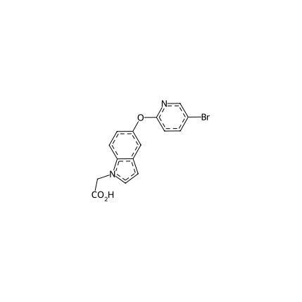 O=C(O)Cn1ccc2cc(Oc3ccc(Br)cn3)ccc21